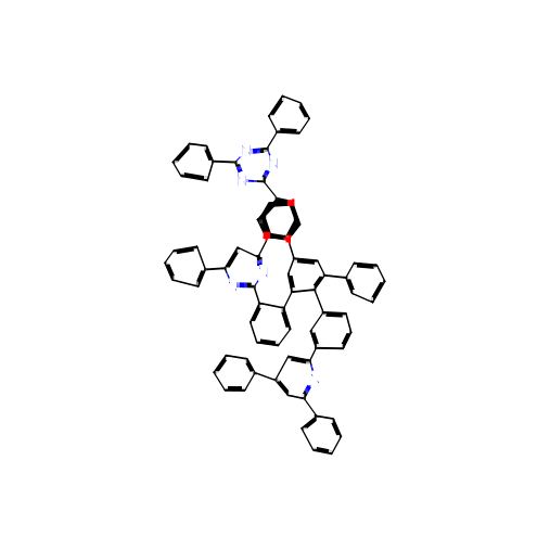 c1ccc(-c2cc(-c3ccccc3)nc(-c3cccc(-c4c(-c5ccccc5)cc(-c5ccc(-c6nc(-c7ccccc7)nc(-c7ccccc7)n6)cc5)cc4-c4ccccc4-c4nc(-c5ccccc5)cc(-c5ccccc5)n4)c3)c2)cc1